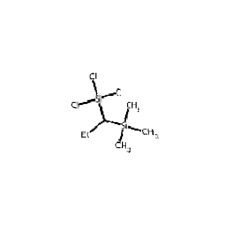 CCC([Si](C)(C)C)[Si](Cl)(Cl)Cl